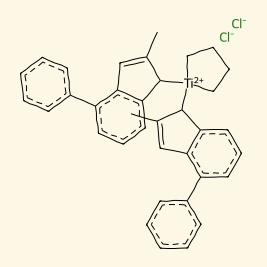 CC1=Cc2c(-c3ccccc3)cccc2[CH]1[Ti+2]1([CH]2C(C)=Cc3c(-c4ccccc4)cccc32)[CH2]CC[CH2]1.[Cl-].[Cl-]